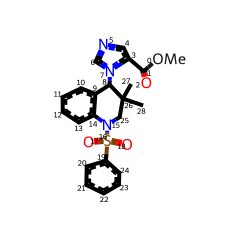 COC(=O)c1cncn1C1c2ccccc2N(S(=O)(=O)c2ccccc2)CC1(C)C